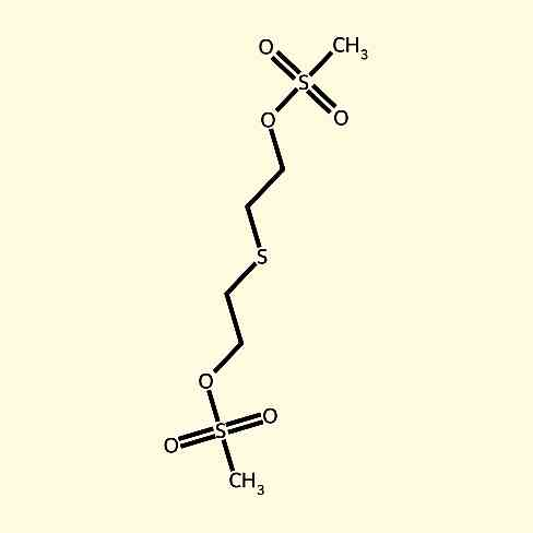 CS(=O)(=O)OCCSCCOS(C)(=O)=O